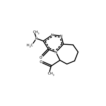 CC(=O)C1CCCCc2nnc(N(C)C)c(=O)n21